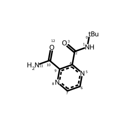 CC(C)(C)NC(=O)c1nccnc1C(N)=O